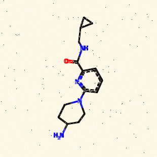 NC1CCN(c2cccc(C(=O)NCC3CC3)n2)CC1